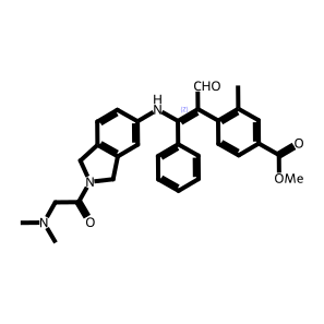 COC(=O)c1ccc(/C(C=O)=C(/Nc2ccc3c(c2)CN(C(=O)CN(C)C)C3)c2ccccc2)c(C)c1